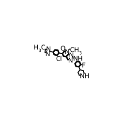 CCn1c(=O)c(-c2ccc(C3=NCC(C)=N3)cc2Cl)cc2cnc(Nc3ccc(C4CCNCC4)c(F)c3)nc21